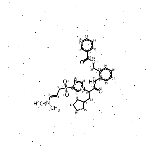 CN(C)C=CCS(=O)(=O)c1cn(C(CC2CCCC2)C(=O)Nc2ccccc2COC(=O)c2cccnc2)cn1